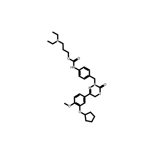 CCN(CC)CCCOC(=O)Nc1ccc(CN2N=C(c3ccc(OC)c(OC4CCCC4)c3)CSC2=O)cc1